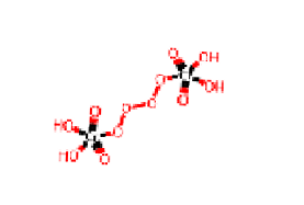 [O]=[Cr](=[O])([OH])([OH])[O]OO[O][Cr](=[O])(=[O])([OH])[OH]